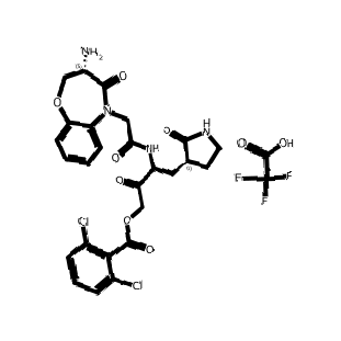 N[C@H]1COc2ccccc2N(CC(=O)NC(C[C@@H]2CCNC2=O)C(=O)COC(=O)c2c(Cl)cccc2Cl)C1=O.O=C(O)C(F)(F)F